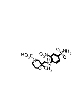 CC1(CNc2ccc(S(N)(=O)=O)cc2[N+](=O)[O-])CN(C(=O)O)CCO1